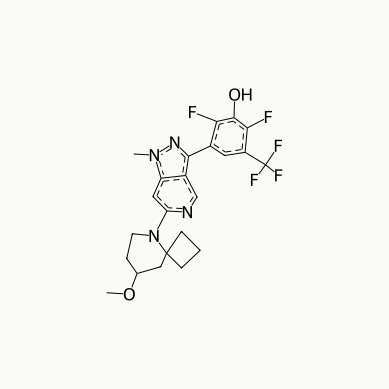 COC1CCN(c2cc3c(cn2)c(-c2cc(C(F)(F)F)c(F)c(O)c2F)nn3C)C2(CCC2)C1